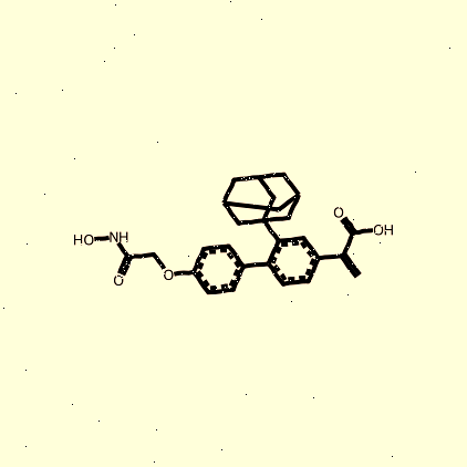 C=C(C(=O)O)c1ccc(-c2ccc(OCC(=O)NO)cc2)c(C23CC4CC(CC(C4)C2)C3)c1